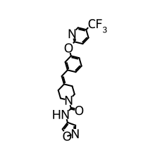 O=C(Nc1cnoc1)N1CCC(=Cc2cccc(Oc3ccc(C(F)(F)F)cn3)c2)CC1